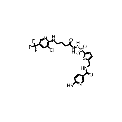 O=C(CCCNc1ncc(C(F)(F)F)cc1Cl)NNS(=O)(=O)c1ccc(CNC(=O)c2ccc(S)nc2)s1